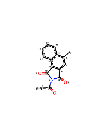 CCCC(=O)N1C(=O)c2cc(C)c3ccccc3c2C1=O